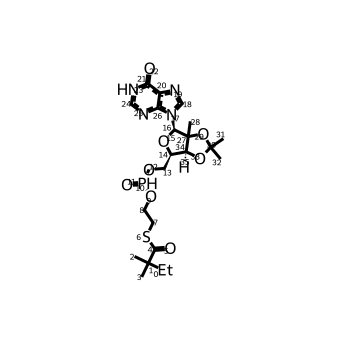 CCC(C)(C)C(=O)SCCO[PH](=O)OC[C@H]1O[C@@H](n2cnc3c(=O)[nH]cnc32)C2(C)OC(C)(C)O[C@@H]12